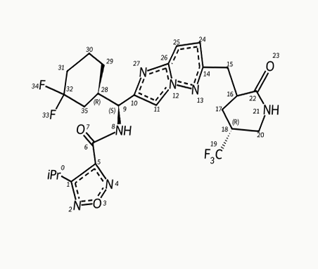 CC(C)c1nonc1C(=O)N[C@H](c1cn2nc(CC3C[C@@H](C(F)(F)F)CNC3=O)ccc2n1)[C@@H]1CCCC(F)(F)C1